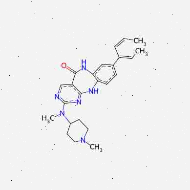 C/C=C\C(=C/C)c1ccc2c(c1)NC(=O)c1cnc(N(C)C3CCN(C)CC3)nc1N2